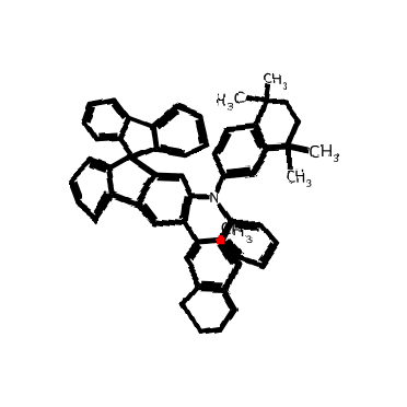 Cc1cc2c(cc1-c1cc3c(cc1N(c1ccccc1)c1ccc4c(c1)C(C)(C)CCC4(C)C)C1(c4ccccc4-c4ccccc41)c1ccccc1-3)CCCC2